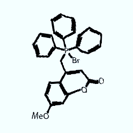 COc1ccc2c(CP(Br)(c3ccccc3)(c3ccccc3)c3ccccc3)cc(=O)oc2c1